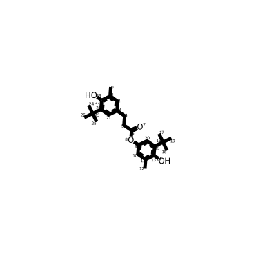 Cc1cc(CCC(=O)Oc2cc(C)c(O)c(C(C)(C)C)c2)cc(C(C)(C)C)c1O